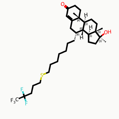 C[C@]12CCC(=O)C=C1C[C@@H](CCCCCCCSCCCC(F)(F)C(F)(F)F)[C@@H]1[C@@H]2CC[C@@]2(C)[C@H]1CC[C@]2(C)O